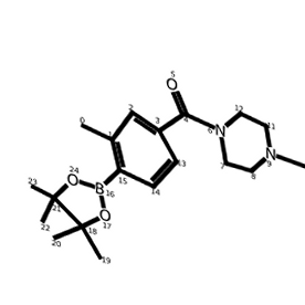 Cc1cc(C(=O)N2CCN(C)CC2)ccc1B1OC(C)(C)C(C)(C)O1